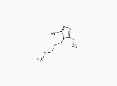 CCc1nnc(S)n1CCCOC